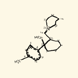 Cc1ccc(C2(O)CCCCC2CN2CCCC2)cc1